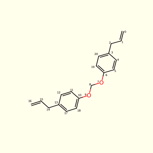 C=CCc1ccc(OCOc2ccc(CC=C)cc2)cc1